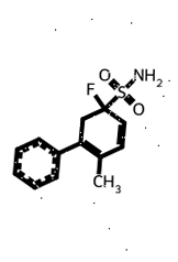 CC1=C(c2ccccc2)CC(F)(S(N)(=O)=O)C=C1